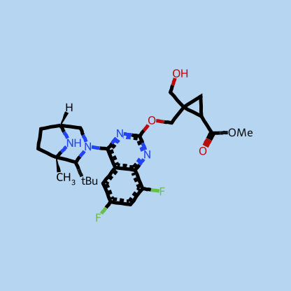 COC(=O)C1CC1(CO)COc1nc(N2C[C@H]3CC[C@](C)(N3)C2C(C)(C)C)c2cc(F)cc(F)c2n1